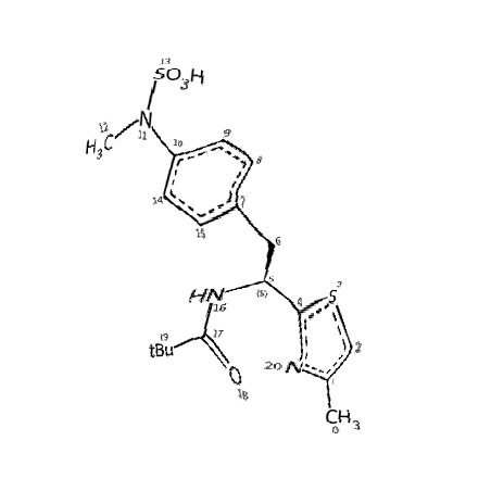 Cc1csc([C@H](Cc2ccc(N(C)S(=O)(=O)O)cc2)NC(=O)C(C)(C)C)n1